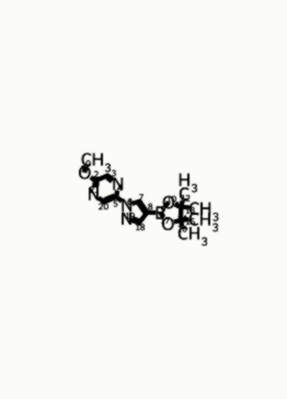 COc1cnc(-n2cc(B3OC(C)(C)C(C)(C)O3)cn2)cn1